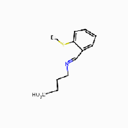 CCSc1ccccc1/C=N/CCCC(=O)O